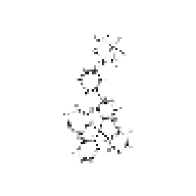 CC1(C)OB(c2cccc(-c3ccc4c(c3)C(c3ccccc3)(c3ccccc3)c3ccccc3-4)c2)OC1(C)C